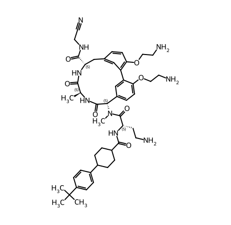 C[C@@H]1NC(=O)[C@@H](N(C)C(=O)[C@H](CCN)NC(=O)C2CCC(c3ccc(C(C)(C)C)cc3)CC2)c2ccc(OCCN)c(c2)-c2cc(ccc2OCCN)C[C@@H](C(=O)NCC#N)NC1=O